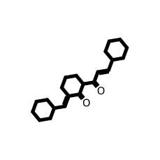 O=C(C=CC1CCCCC1)C1CCCC(=CC2CCCCC2)C1=O